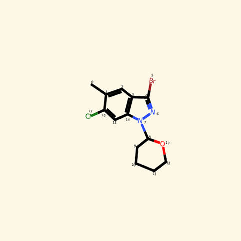 Cc1cc2c(Br)nn(C3CCCCO3)c2cc1Cl